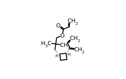 C=CC(=C)[C@@H]1CC[C@@H]1CC(C)(C)COC(=O)C=C